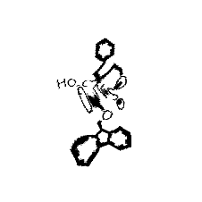 O=C(OCC1c2ccccc2-c2ccccc21)N1S(=O)OCC[C@]1(Cc1ccccc1)C(=O)O